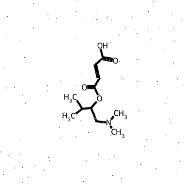 CC(C)C(CN(C)C)OC(=O)C=CC(=O)O